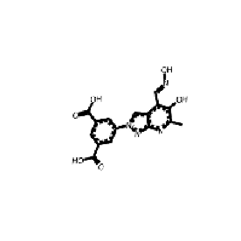 Cc1nc2nn(-c3cc(C(=O)O)cc(C(=O)O)c3)cc2c(C=NO)c1O